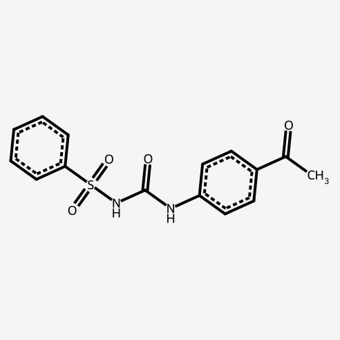 CC(=O)c1ccc(NC(=O)NS(=O)(=O)c2ccccc2)cc1